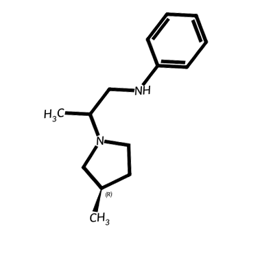 CC(CNc1ccccc1)N1CC[C@@H](C)C1